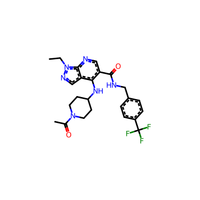 CCn1ncc2c(NC3CCN(C(C)=O)CC3)c(C(=O)NCc3ccc(C(F)(F)F)cc3)cnc21